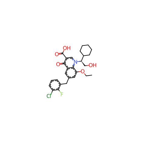 CCOc1cc(Cc2cccc(Cl)c2F)cc2c(=O)c(C(=O)O)cn([C@H](CO)C3CCCCC3)c12